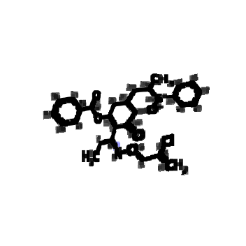 C=C(Cl)CO/N=C(/CC)C1=C(OC(=O)c2ccccc2)CC(CC(C)[S+]([O-])c2ccccc2)CC1=O